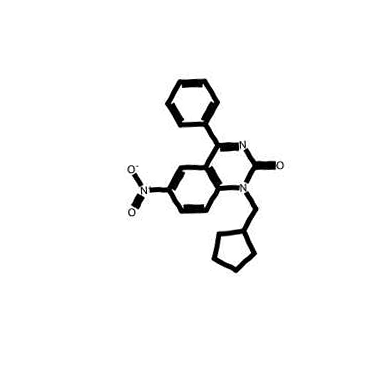 O=c1nc(-c2ccccc2)c2cc([N+](=O)[O-])ccc2n1CC1CCCC1